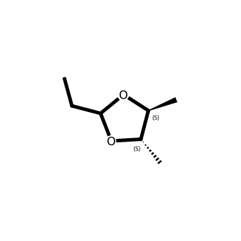 CCC1O[C@@H](C)[C@H](C)O1